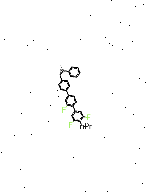 CCCc1c(F)cc(-c2ccc(-c3ccc(C[C@H](C)c4ccccc4)cc3)cc2F)cc1F